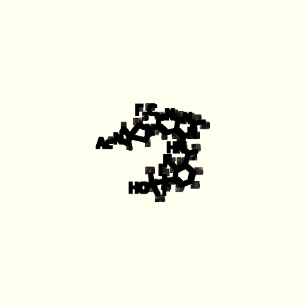 CC(=O)N1CC2(C1)CN(c1cc3c(NC(C)c4cccc(C(F)(F)C(C)(C)O)c4F)nc(C)nc3nc1C(F)(F)F)C2